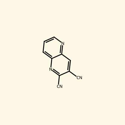 N#Cc1cc2ncccc2nc1C#N